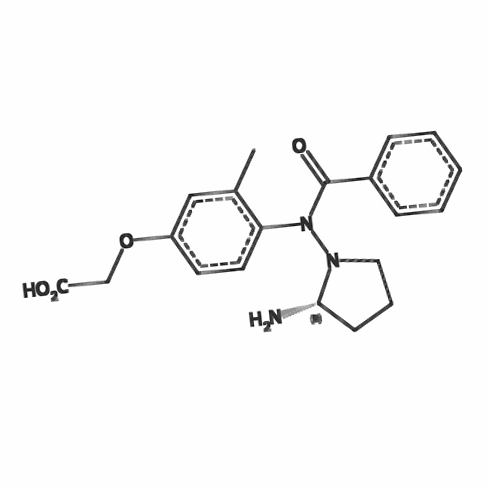 Cc1cc(OCC(=O)O)ccc1N(C(=O)c1ccccc1)N1CCC[C@@H]1N